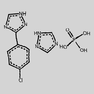 Clc1ccc(-c2nc[nH]n2)cc1.O=P(O)(O)O.c1nc[nH]n1